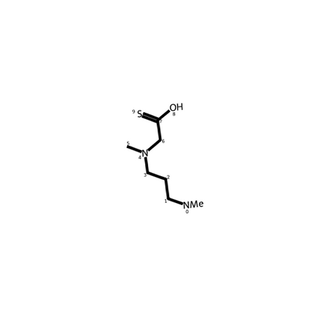 CNCCCN(C)CC(O)=S